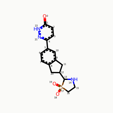 O=c1ccc(-c2ccc3c(c2)CC(C2NCCS2(=O)=O)C3)n[nH]1